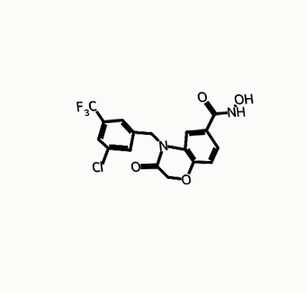 O=C(NO)c1ccc2c(c1)N(Cc1cc(Cl)cc(C(F)(F)F)c1)C(=O)CO2